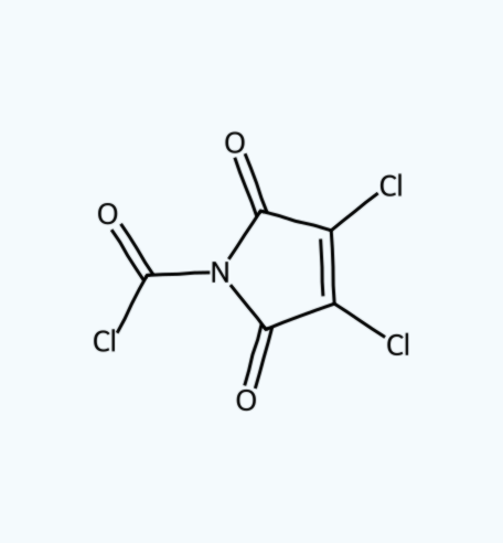 O=C(Cl)N1C(=O)C(Cl)=C(Cl)C1=O